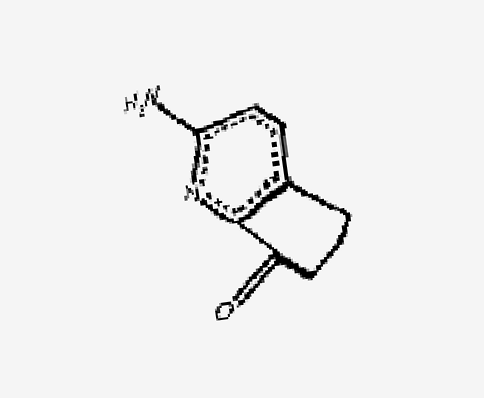 Nc1ccc2c(n1)C(=O)CC2